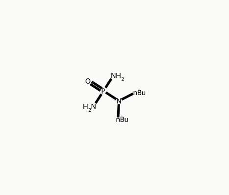 CCCCN(CCCC)P(N)(N)=O